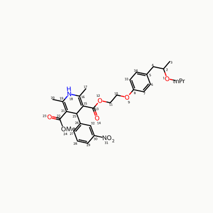 CCCOC(C)Cc1ccc(OCCOC(=O)C2=C(C)NC(C)=C(C(=O)OC)C2c2cccc([N+](=O)[O-])c2)cc1